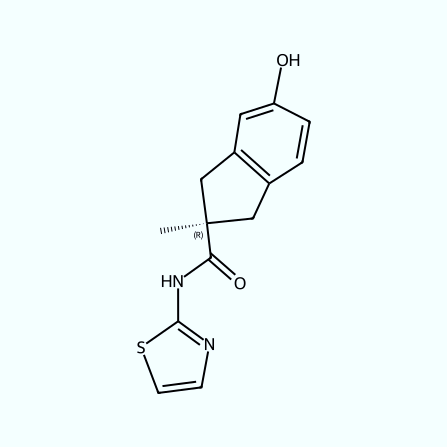 C[C@@]1(C(=O)Nc2nccs2)Cc2ccc(O)cc2C1